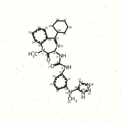 CN1C(=O)[C@H](NC(=O)Nc2cccc(N(C)c3nnn[nH]3)c2)N=C(C2CCCCC2)c2ccccc21